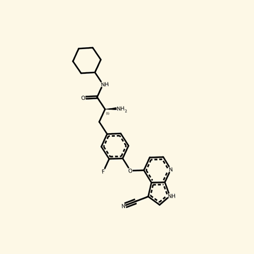 N#Cc1c[nH]c2nccc(Oc3ccc(C[C@H](N)C(=O)NC4CCCCC4)cc3F)c12